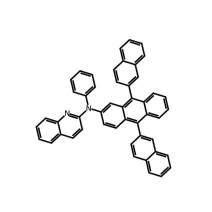 c1ccc(N(c2ccc3c(-c4ccc5ccccc5c4)c4ccccc4c(-c4ccc5ccccc5c4)c3c2)c2ccc3ccccc3n2)cc1